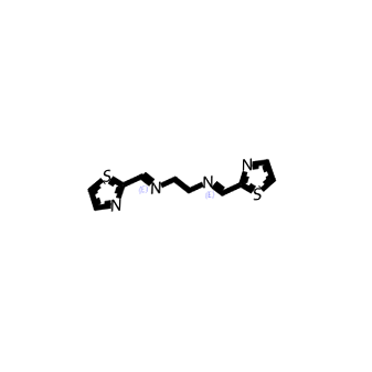 C(=N\CC/N=C/c1nccs1)/c1nccs1